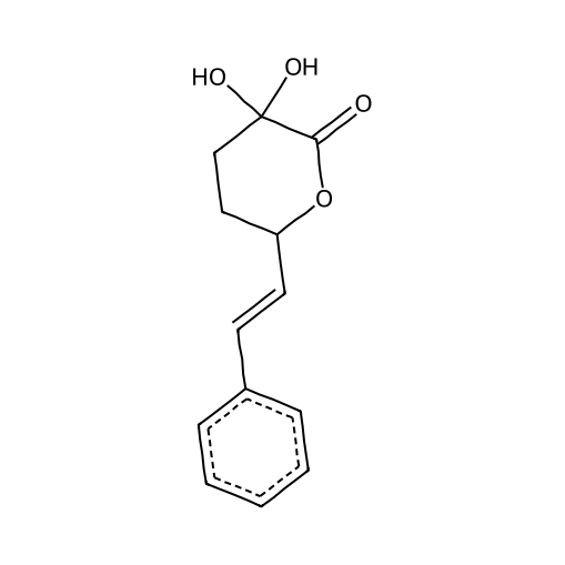 O=C1OC(C=Cc2ccccc2)CCC1(O)O